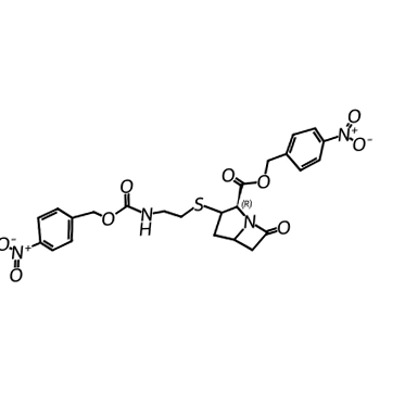 O=C(NCCSC1CC2CC(=O)N2[C@@H]1C(=O)OCc1ccc([N+](=O)[O-])cc1)OCc1ccc([N+](=O)[O-])cc1